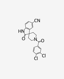 N#Cc1ccc2c(c1)C1(CCN(C(=O)c3ccc(Cl)c(Cl)c3)CC1)C(=O)N2